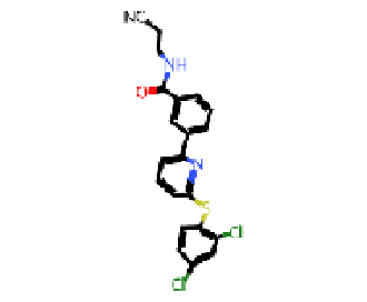 N#CCCNC(=O)c1cccc(-c2cccc(Sc3ccc(Cl)cc3Cl)n2)c1